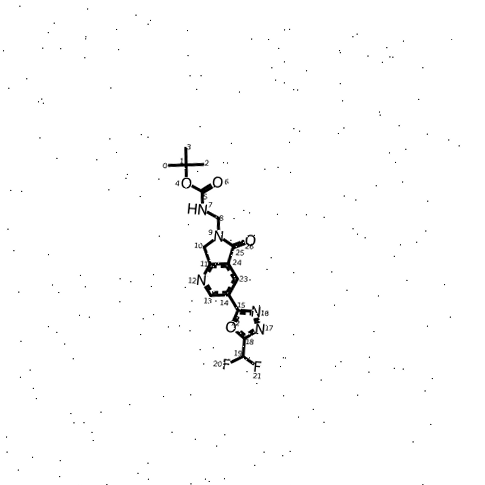 CC(C)(C)OC(=O)NCN1Cc2ncc(-c3nnc(C(F)F)o3)cc2C1=O